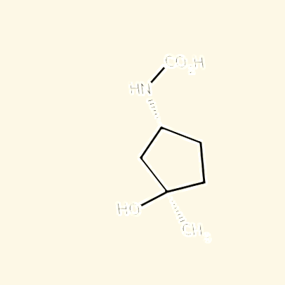 C[C@@]1(O)CC[C@@H](NC(=O)O)C1